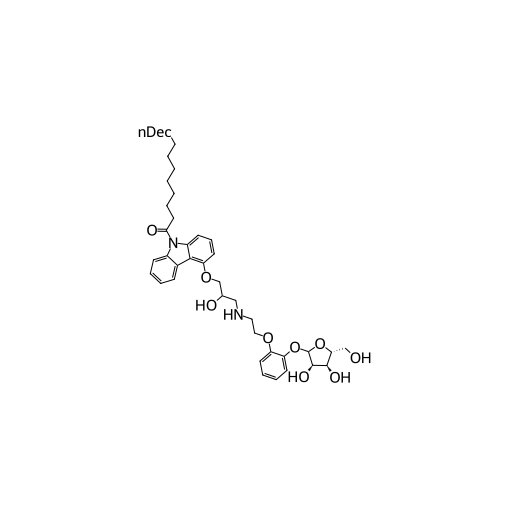 CCCCCCCCCCCCCCCCCC(=O)n1c2ccccc2c2c(OCC(O)CNCCOc3ccccc3OC3O[C@H](CO)[C@@H](O)[C@H]3O)cccc21